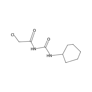 O=C(CCl)NC(=O)NC1CCCCC1